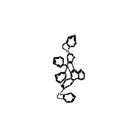 c1ccc(C2(c3ccccc3)c3cc(N4CCc5ccccc54)ccc3-c3c2c2ccc(N4CCc5ccccc54)cc2c2ccccc32)cc1